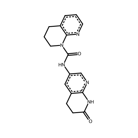 O=C1CCc2cc(NC(=O)N3CCCc4cccnc43)cnc2N1